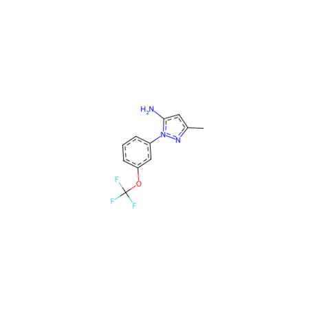 Cc1cc(N)n(-c2cccc(OC(F)(F)F)c2)n1